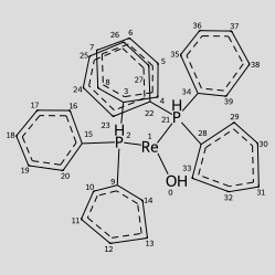 [OH][Re]([PH](c1ccccc1)(c1ccccc1)c1ccccc1)[PH](c1ccccc1)(c1ccccc1)c1ccccc1